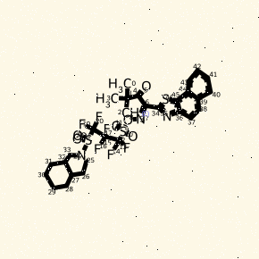 CC(C)(C)C(=O)/C(=N\OS(=O)(=O)C(F)(F)C(F)(F)C(F)(F)S(=O)(=O)N1CCC2CCCCC2C1)c1nc2ccc3ccccc3c2s1